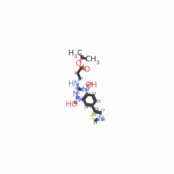 CC(C)OC(=O)CCNc1n[n+](O)c2cc(-c3cncs3)ccc2[n+]1O